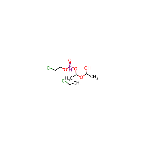 CC(O)OC(C)O[PH](=O)OCCCl.CCCl